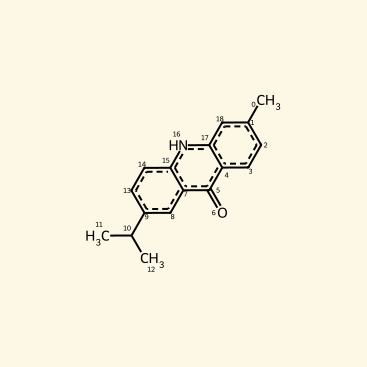 Cc1ccc2c(=O)c3cc(C(C)C)ccc3[nH]c2c1